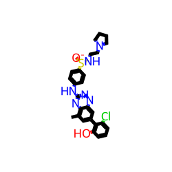 Cc1cc(-c2c(O)cccc2Cl)cc2nnc(Nc3ccc([S+]([O-])NCCN4CCCC4)cc3)nc12